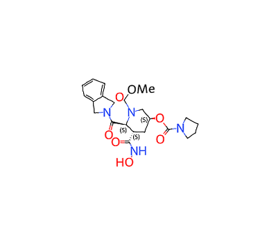 COC(=O)N1C[C@@H](OC(=O)N2CCCC2)C[C@H](C(=O)NO)[C@H]1C(=O)N1Cc2ccccc2C1